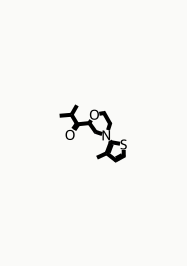 Cc1ccsc1N1CCOC(C(=O)C(C)C)C1